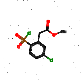 CC(C)(C)OC(=O)Cc1cc(Cl)ccc1S(=O)(=O)Cl